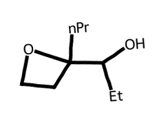 CCCC1(C(O)CC)CCO1